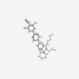 CCCCCCC(CCC)C1(c2ccc(-c3cnc(-c4cc(F)c(C#N)c(F)c4)nc3)cc2)CCCCC1